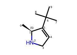 C[C@@H]1NCC=C1C(C)(C)C